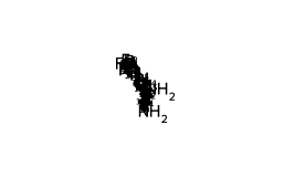 COC1(C(F)(F)F)CCN(c2ccc(C3(N)CC4(CC(N)C4)C3)c(C)n2)CC1